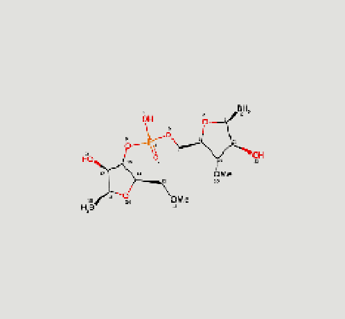 B[C@@H]1O[C@H](COP(=O)(O)OC2[C@@H](COC)O[C@@H](B)[C@H]2O)C(OC)[C@@H]1O